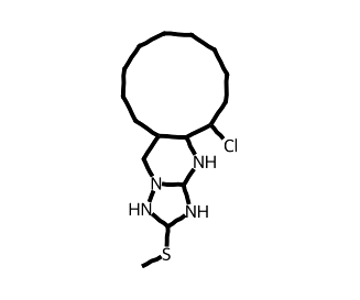 CSC1NC2NC3C(Cl)CCCCCCCCCC3CN2N1